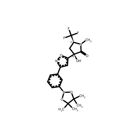 CN1C(=O)[C@](O)(c2cc(-c3cccc(B4OC(C)(C)C(C)(C)O4)c3)no2)C[C@H]1C(F)(F)F